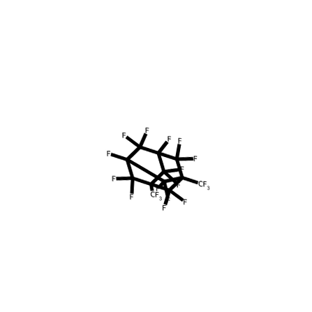 FC(F)(F)C12C(F)(F)C3(F)C(F)(F)C(F)(C1(F)F)C(F)(F)C(C(F)(F)F)(C3(F)F)C2(F)F